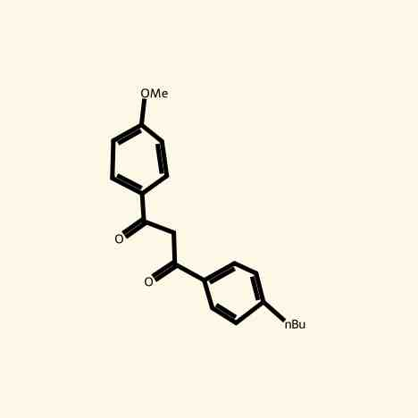 CCCCc1ccc(C(=O)CC(=O)c2ccc(OC)cc2)cc1